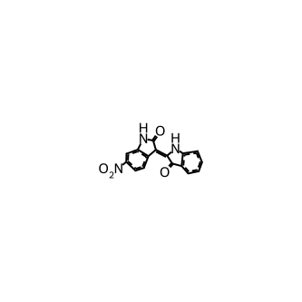 O=C1Nc2cc([N+](=O)[O-])ccc2/C1=C1/Nc2ccccc2C1=O